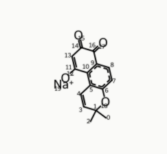 CC1(C)C=Cc2c(ccc3c2C([O-])=CC(=O)C3=O)O1.[Na+]